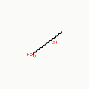 CC=CCC=CCC(O)CCCCCCCCCCCC(=O)O